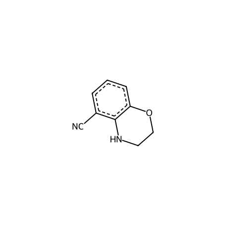 N#Cc1cccc2c1NCCO2